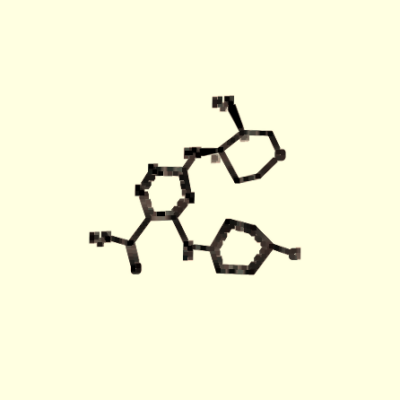 NC(=O)c1nnc(N[C@@H]2CCOC[C@@H]2N)nc1Nc1ccc(Cl)cc1